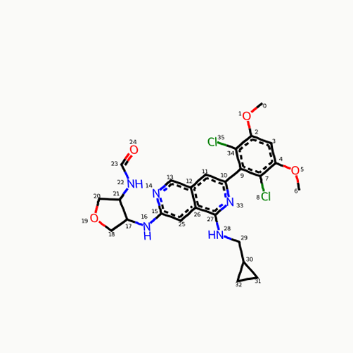 COc1cc(OC)c(Cl)c(-c2cc3cnc(NC4COCC4NC=O)cc3c(NCC3CC3)n2)c1Cl